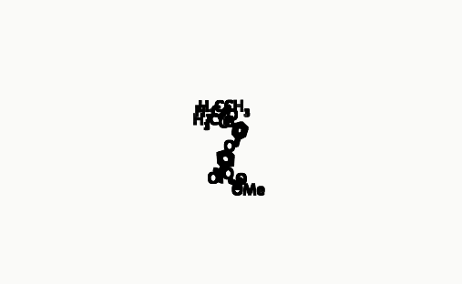 COC(=O)COC1(c2ccc(OCc3cccc(B4OC(C)(C)C(C)(C)O4)c3)cc2)COC1